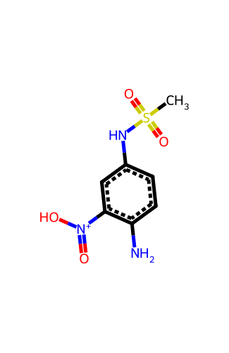 CS(=O)(=O)Nc1ccc(N)c([N+](=O)O)c1